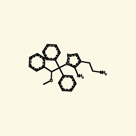 COC(c1ccccc1)C(c1ccccc1)(c1ccccc1)n1ncc(CCN)c1N